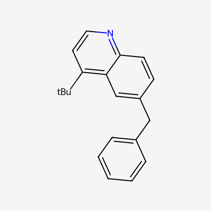 CC(C)(C)c1ccnc2ccc(Cc3ccccc3)cc12